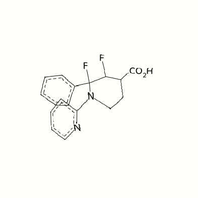 O=C(O)C1CCN(c2ccccn2)C(F)(c2ccccc2)C1F